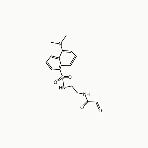 CN(C)c1cccc2c(S(=O)(=O)NCCNC(=O)C=O)cccc12